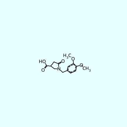 COc1ccc(CN2CC(C(=O)O)CC2=O)cc1OC